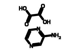 Nc1cnccn1.O=C(O)C(=O)O